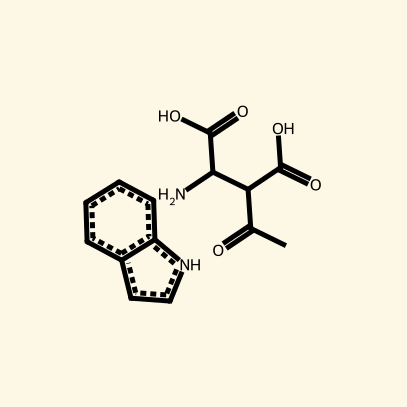 CC(=O)C(C(=O)O)C(N)C(=O)O.c1ccc2[nH]ccc2c1